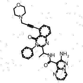 CC(NC(=O)c1c(N)nn2cccnc12)c1nc2cccc(C#CCN3CCOCC3)c2c(=O)n1-c1ccccc1